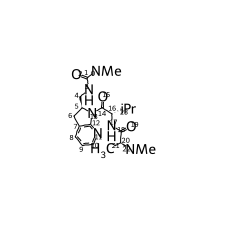 CNC(=O)NC[C@@H]1Cc2cccnc2N1C(=O)[C@@H](NC(=O)[C@H](C)NC)C(C)C